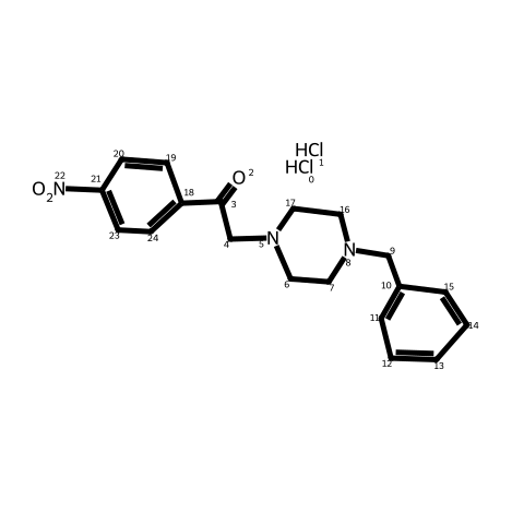 Cl.Cl.O=C(CN1CCN(Cc2ccccc2)CC1)c1ccc([N+](=O)[O-])cc1